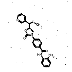 COC(c1cccnc1)C1CN(c2ccc(C(=O)Nc3ccccc3N)cc2)C(=O)O1